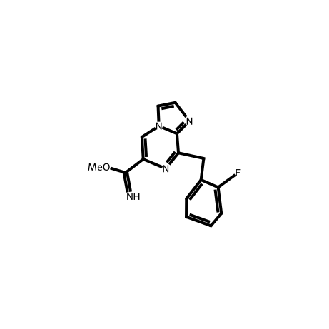 COC(=N)c1cn2ccnc2c(Cc2ccccc2F)n1